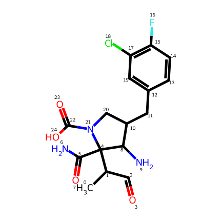 CC(C=O)C1(C(N)=O)C(N)C(Cc2ccc(F)c(Cl)c2)CN1C(=O)O